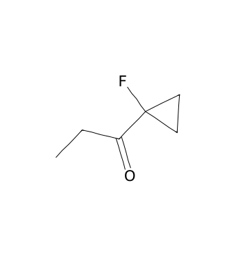 CCC(=O)C1(F)CC1